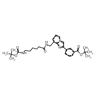 CC(C)(C)OC(=O)NCCCCCC(=O)NCc1cccn2cc(-c3cccc(C(=O)OC(C)(C)C)c3)nc12